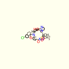 C[C@@H]1[C@@H](C)CCC[C@@](O)(Cc2ncccn2)[C@@H]2CC[C@H]2CN2C[C@@]3(CCCc4cc(Cl)ccc43)COc3ccc(cc32)C(=O)NS1(=O)=O